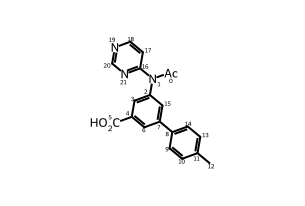 CC(=O)N(c1cc(C(=O)O)cc(-c2ccc(C)cc2)c1)c1ccncn1